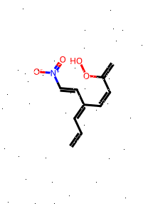 C=C/C=C(\C=C/C(=C)OO)/C=C/[N+](=O)[O-]